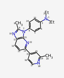 CCN(CC)c1ccc(-n2c(C)nc3ccc(-c4ccnc(C)c4)nc32)cc1